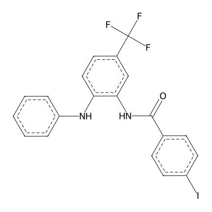 O=C(Nc1cc(C(F)(F)F)ccc1Nc1ccccc1)c1ccc(I)cc1